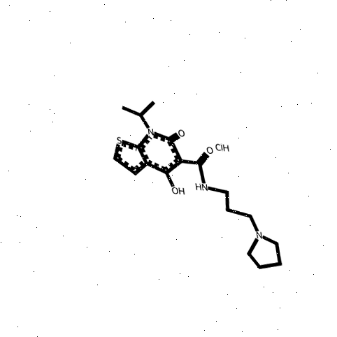 CC(C)n1c(=O)c(C(=O)NCCCN2CCCC2)c(O)c2ccsc21.Cl